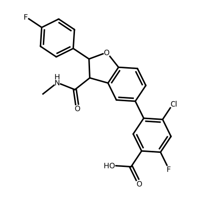 CNC(=O)C1c2cc(-c3cc(C(=O)O)c(F)cc3Cl)ccc2OC1c1ccc(F)cc1